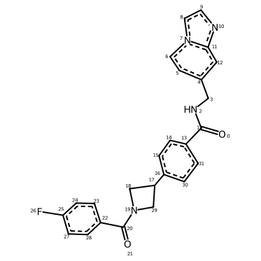 O=C(NCc1ccn2ccnc2c1)c1ccc(C2CN(C(=O)c3ccc(F)cc3)C2)cc1